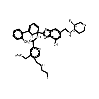 COCc1cc(C(=O)NC2(c3nc4cc(CN[C@@H]5CCOC[C@@H]5F)cc(C#N)c4o3)C=CC=C(c3ccccc3C)C2Cl)ncc1CNCCF